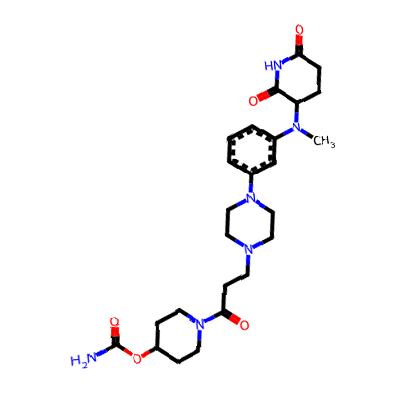 CN(c1cccc(N2CCN(CCC(=O)N3CCC(OC(N)=O)CC3)CC2)c1)C1CCC(=O)NC1=O